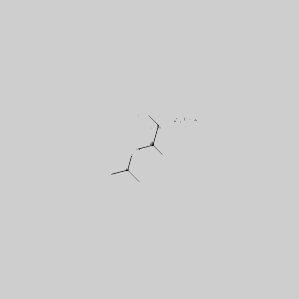 CCC(CC)OC(O)[C@H](C)NC